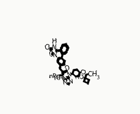 CCCc1c(Cc2ccc(-c3ccccc3-c3noc(=O)[nH]3)cc2)c(=O)n(C2CCC(OC(C)C3(O)CCC3)CC2)c2ncnn12.[KH]